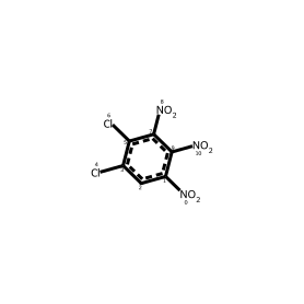 O=[N+]([O-])c1cc(Cl)c(Cl)c([N+](=O)[O-])c1[N+](=O)[O-]